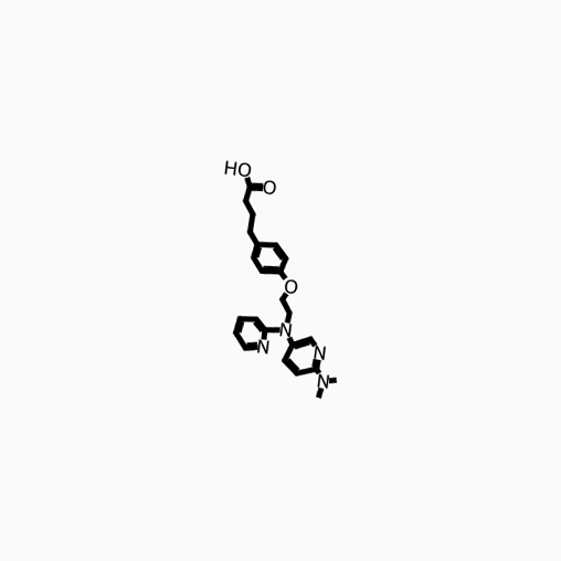 CN(C)c1ccc(N(CCOc2ccc(CCCC(=O)O)cc2)c2ccccn2)cn1